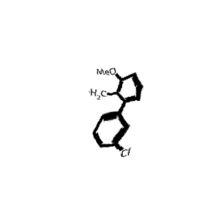 [CH2]c1c(OC)cccc1-c1cccc(Cl)c1